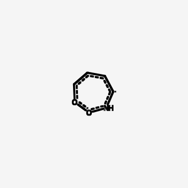 [c]1cccoo[nH]1